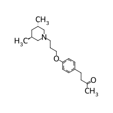 CC(=O)CCc1ccc(OCCCN2C[C@@H](C)C[C@H](C)C2)cc1